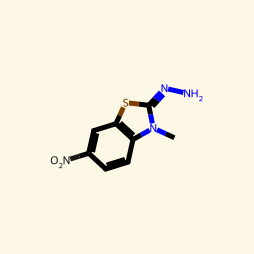 Cn1/c(=N\N)sc2cc([N+](=O)[O-])ccc21